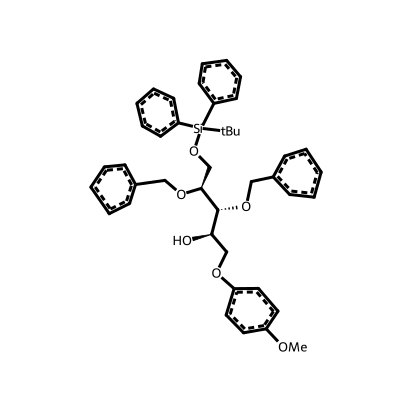 COc1ccc(OC[C@@H](O)[C@@H](OCc2ccccc2)[C@H](CO[Si](c2ccccc2)(c2ccccc2)C(C)(C)C)OCc2ccccc2)cc1